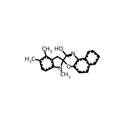 Cc1ccc2c(c1C)CC1(Oc3ccc4ccccc4c3N=C1O)N2C